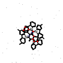 C=C(/C(=C(\C(CC(C)n1c2ccccc2c2ccccc21)=C(/C)n1c2ccc(C)cc2c2cc(C)ccc21)c1ccccc1F)n1c2ccc(C)cc2c2cc(C)ccc21)c1c(F)cccc1CCn1c2ccccc2c2ccccc21